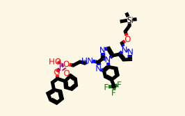 C[Si](C)(C)CCOCn1nccc1-c1cnc2c(NCCCOP(=O)(O)OC(Cc3ccccc3)c3ccccc3)nc3cc(C(F)(F)F)ccc3n12